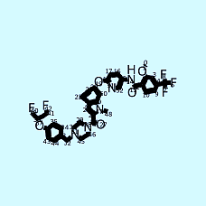 COc1cc(C(F)(F)F)ccc1C(=O)Nc1ccc(Oc2ccc3cc(C(=O)N4CCN(Cc5ccc(OC(CF)CF)cc5)CC4)n(C)c3c2)nc1